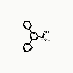 CNC(=N)c1cc(-c2ccccc2)cc(-c2ccccc2)c1